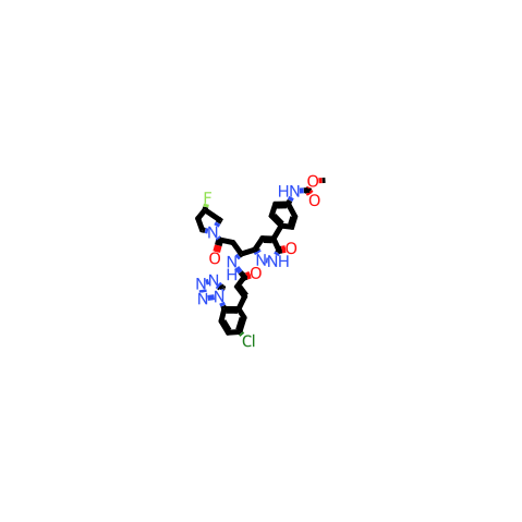 COC(=O)Nc1ccc(-c2cc(C(CC(=O)N3CCC(F)C3)NC(=O)C=Cc3cc(Cl)ccc3-n3cnnn3)n[nH]c2=O)cc1